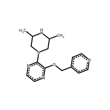 CC1CN(c2nccnc2OCc2ccncc2)CC(C)N1